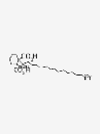 CCCCC1(C(=O)O)CCCCC1(CCCCCCCCCCCCCCC(C)C)C(=O)O